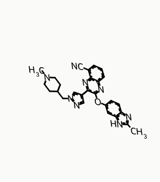 Cc1nc2ccc(Oc3nc4cccc(C#N)c4nc3-c3cnn(CC4CCN(C)CC4)c3)cc2[nH]1